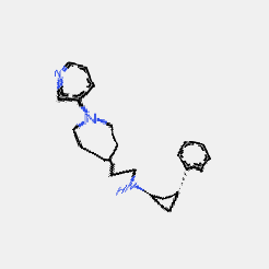 c1ccc([C@@H]2C[C@H]2NCCC2CCN(c3cccnc3)CC2)cc1